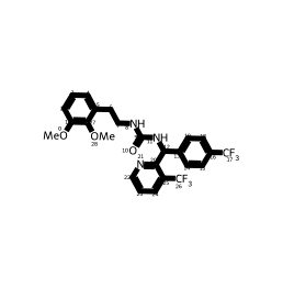 COc1cccc(CCNC(=O)NC(c2ccc(C(F)(F)F)cc2)c2ncccc2C(F)(F)F)c1OC